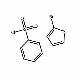 Brc1cccs1.O=S(=O)(Cl)c1ccccc1